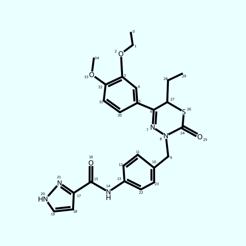 CCOc1cc(C2=NN(Cc3ccc(NC(=O)c4cc[nH]n4)cc3)C(=O)SC2CC)ccc1OC